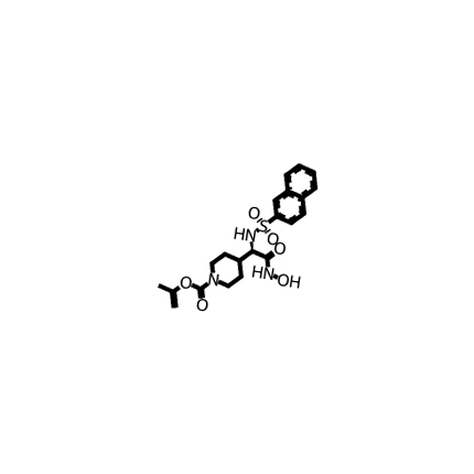 C=C(C)OC(=O)N1CCC([C@@H](NS(=O)(=O)c2ccc3ccccc3c2)C(=O)NO)CC1